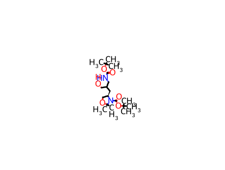 CC(C)(C)OC(=O)NCC(CO)C[C@@H]1COC(C)(C)N1C(=O)OC(C)(C)C